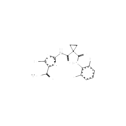 COC(=O)c1nc(NC(=O)C2(C(=O)Nc3c(F)cccc3F)CC2)sc1C(C)C